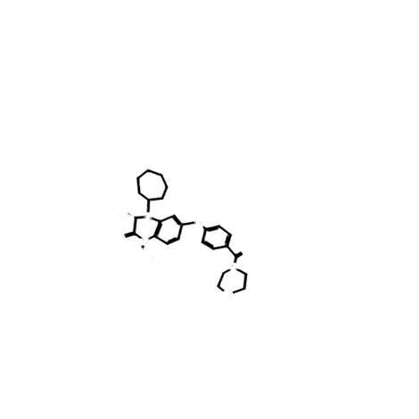 C[C@@H]1C(=O)N(C)c2ccc(Nc3ccc(C(=O)N4CCOCC4)cc3)cc2N1C1CCCCCC1